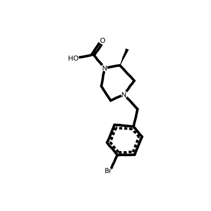 C[C@H]1CN(Cc2ccc(Br)cc2)CCN1C(=O)O